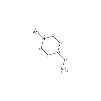 CC(=O)N1CCC(CN)CC1